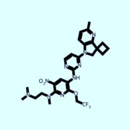 Cc1ccc2c(n1)C1(CCC1)CN2c1ccnc(Nc2cc([N+](=O)[O-])c(N(C)CCN(C)C)nc2OCC(F)(F)F)n1